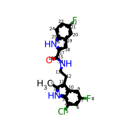 Cc1[nH]c2c(Cl)cc(F)cc2c1CCNC(=O)c1cc2cc(F)ccc2[nH]1